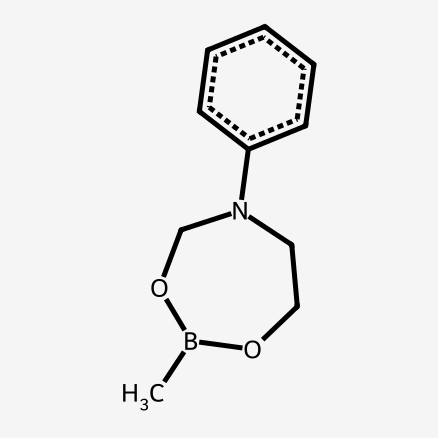 CB1OCCN(c2ccccc2)CO1